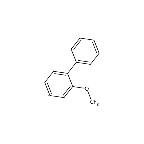 FC(F)(F)Oc1c[c]ccc1-c1ccccc1